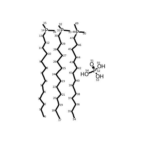 CCCCCCCCCCCCCCP(C)C.CCCCCCCCCCCCCCP(C)C.CCCCCCCCCCCCCCP(C)C.O=P(O)(O)O